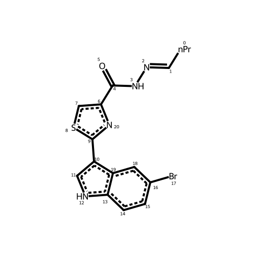 CCCC=NNC(=O)c1csc(-c2c[nH]c3ccc(Br)cc23)n1